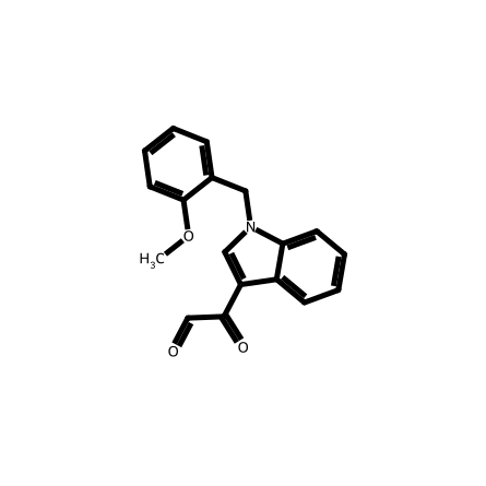 COc1ccccc1Cn1cc(C(=O)C=O)c2ccccc21